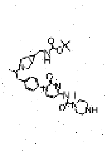 CC(Cc1ccc(-n2ccc(NC(=O)N3CCNCC3)nc2=O)cc1)N1CC2C(CNC(=O)OC(C)(C)C)C2C1